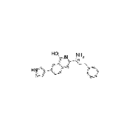 N[C@H](CCc1ccccc1)c1nc(O)c2cc(-c3cn[nH]c3)ccc2n1